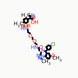 COc1ccc2c(c1)C(c1ccc(Cl)cc1)=N[C@@H](CC(=O)NCCOCCOCCCNS(=O)(=O)c1cc(-c3c(C)noc3O)ccc1C)c1nnc(C)n1-2